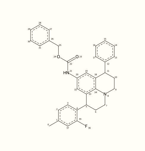 Cc1ccc(C2CCN3CCC(c4ccccc4)c4cc(NC(=O)OCc5ccccc5)cc2c43)c(F)c1